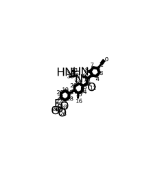 C#Cc1ccc2c(c1)[nH]c1c2c(=O)c2cc(C)c(-c3cccc(OS(=O)(=O)F)c3)cc2n1C1CNC1